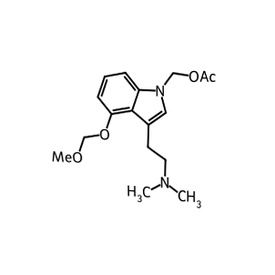 COCOc1cccc2c1c(CCN(C)C)cn2COC(C)=O